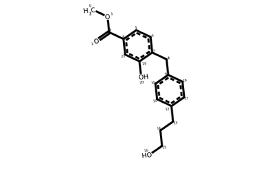 COC(=O)c1ccc(Cc2ccc(CCCO)cc2)c(O)c1